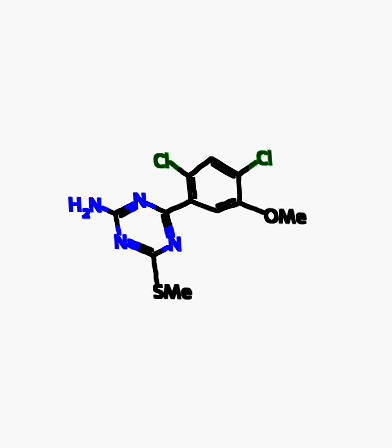 COc1cc(-c2nc(N)nc(SC)n2)c(Cl)cc1Cl